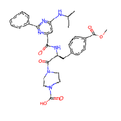 COC(=O)c1ccc(C[C@H](NC(=O)c2cc(NC(C)C)nc(-c3ccccc3)n2)C(=O)N2CCN(C(=O)O)CC2)cc1